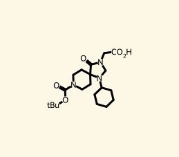 CC(C)(C)OC(=O)N1CCC2(CC1)C(=O)N(CC(=O)O)CN2C1CCCCC1